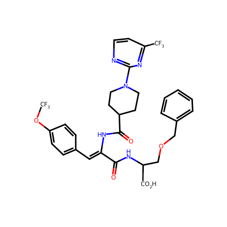 O=C(NC(COCc1ccccc1)C(=O)O)C(=Cc1ccc(OC(F)(F)F)cc1)NC(=O)C1CCN(c2nccc(C(F)(F)F)n2)CC1